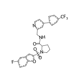 O=C(NCc1cc(-c2ccc(C(F)(F)F)cc2)ccn1)C1CCCN1S(=O)(=O)c1cc2cc(F)ccc2o1